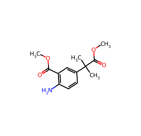 COC(=O)c1cc(C(C)(C)C(=O)OC)ccc1N